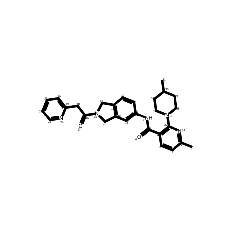 Cc1ccc(C(=O)Nc2ccc3c(c2)CN(C(=O)Cc2ccccn2)C3)c(N2CCC(C)CC2)n1